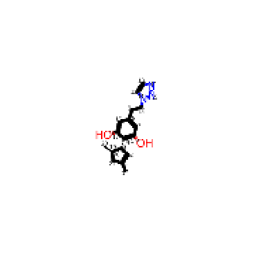 CC1=C[C@@H](c2c(O)cc(CCn3ccnn3)cc2O)[C@H](C)C1